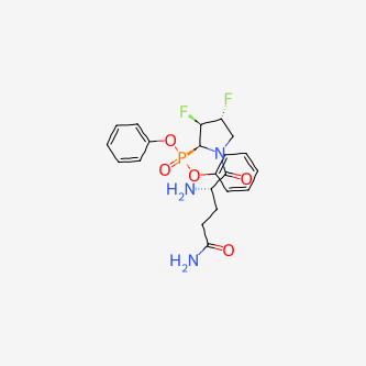 NC(=O)CC[C@H](N)C(=O)N1C[C@@H](F)[C@H](F)[C@@H]1P(=O)(Oc1ccccc1)Oc1ccccc1